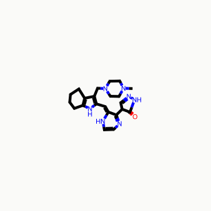 CN1CCN(Cc2c(C=C3NC=CN=C3C3C=NNC3=O)[nH]c3c2CCCC3)CC1